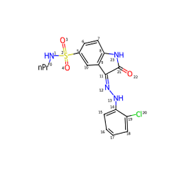 CCCNS(=O)(=O)c1ccc2c(c1)/C(=N/Nc1ccccc1Cl)C(=O)N2